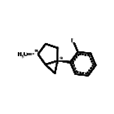 C[C@@H]1CC[C@]2(c3ccccc3F)CC12